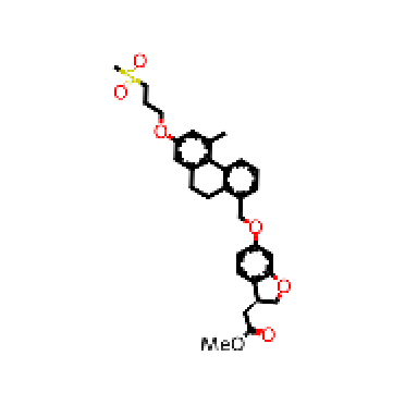 COC(=O)C[C@@H]1COc2cc(OCc3cccc4c3CCc3cc(OCCCS(C)(=O)=O)cc(C)c3-4)ccc21